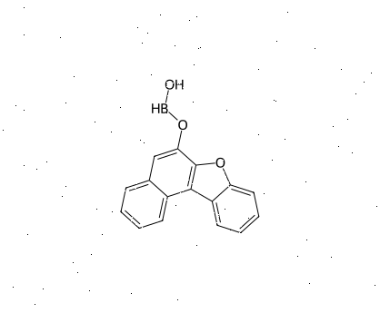 OBOc1cc2ccccc2c2c1oc1ccccc12